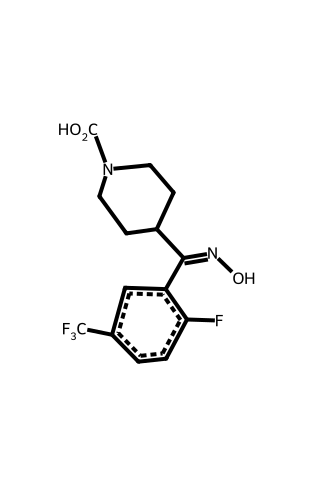 O=C(O)N1CCC(C(=NO)c2cc(C(F)(F)F)ccc2F)CC1